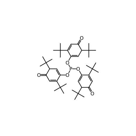 CC(C)(C)C1=CC(=O)C(C(C)(C)C)C=C1OP(OC1=CC(C(C)(C)C)C(=O)C=C1C(C)(C)C)OC1=CC(C(C)(C)C)C(=O)C=C1C(C)(C)C